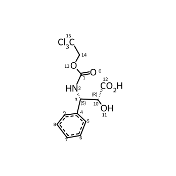 O=C(N[C@@H](c1ccccc1)[C@@H](O)C(=O)O)OCC(Cl)(Cl)Cl